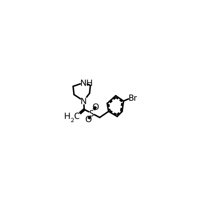 C=C(N1CCNCC1)S(=O)(=O)Cc1ccc(Br)cc1